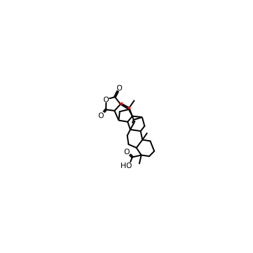 CC(C)C1=CC23CCC4C(C)(C(=O)O)CCCC4(C)C2CC1C1C2CC(C4C(=O)OC(=O)C24)C13